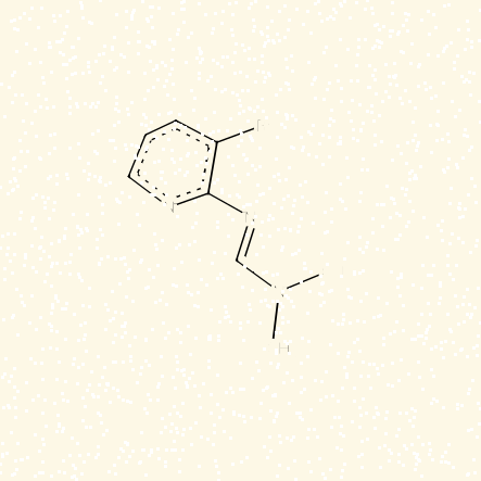 CN(C)/C=N/c1ncccc1Br